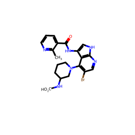 Cc1ncccc1C(=O)Nc1c[nH]c2ncc(Br)c(N3CCCC(NC(=O)O)C3)c12